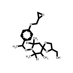 CCC1(C)CC2(OCC(CO)O2)C(C)C(C)(CC)N1OC(C)c1ccc(OCC2CO2)cc1